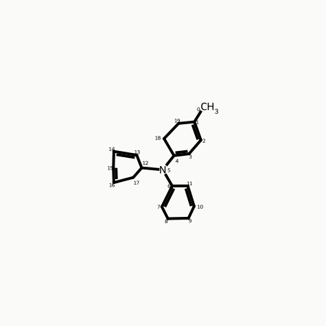 CC1=CC=C(N(C2=CCCC=C2)C2C=CC=CC2)CC1